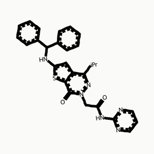 CC(C)c1nn(CC(=O)Nc2ncccn2)c(=O)c2sc(NC(c3ccccc3)c3ccccc3)cc12